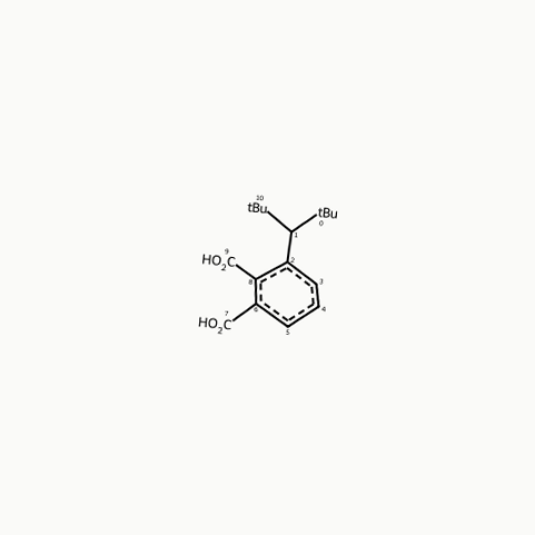 CC(C)(C)C(c1cccc(C(=O)O)c1C(=O)O)C(C)(C)C